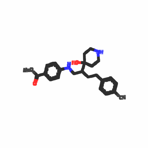 COC(=O)c1ccc(NCC(CCc2ccc(C#N)cc2)C2(O)CCNCC2)cc1